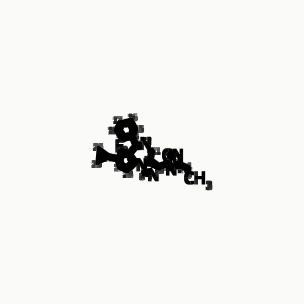 CCc1noc(-c2ncn3c2CN=C(c2ccccc2F)c2cc(C4CC4)ccc2-3)n1